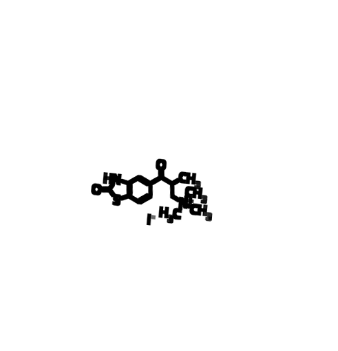 CC(C[N+](C)(C)C)C(=O)c1ccc2sc(=O)[nH]c2c1.[I-]